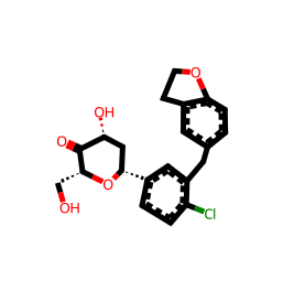 O=C1[C@H](O)C[C@H](c2ccc(Cl)c(Cc3ccc4c(c3)CCO4)c2)O[C@@H]1CO